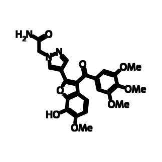 COc1cc(C(=O)c2c(-c3cnn(CC(N)=O)c3)oc3c(O)c(OC)ccc23)cc(OC)c1OC